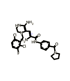 NC1=C(/C=C(\N)C(=O)Nc2ccc(C(=O)N3CCCC3)cc2)N(Cc2c(Cl)ccc(F)c2Cl)CCN1